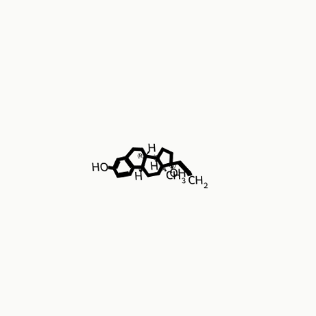 C=C=C[C@@]1(O)CC[C@H]2[C@@H]3CCc4cc(O)ccc4[C@H]3CC[C@@]21C